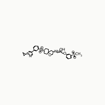 CS(=O)(=O)c1cccc(OC[C@@H](O)CNC2COC3(CCN(S(=O)(=O)c4cccc(-c5cnn(C6CC6)c5)c4)CC3)C2)c1